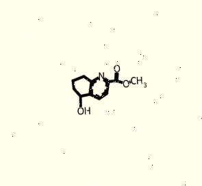 COC(=O)c1ccc2c(n1)CCCC2O